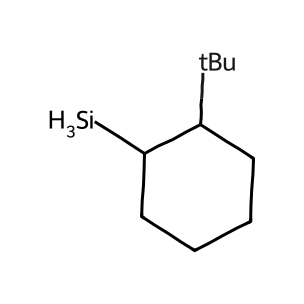 CC(C)(C)C1CCCCC1[SiH3]